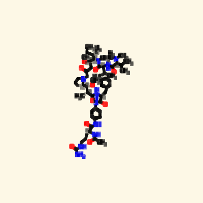 CC[C@H](C)[C@@H]([C@@H](CC(=O)CN1CCC[C@H]1[C@H](OC)[C@@H](C)C(=O)N[C@@H](Cc1ccccc1)C(=O)Nc1ccc(NC(=O)[C@@H](CCCNC(N)=O)NC(C)=O)cc1)OC)N(C)C(=O)[C@@H](NC(=O)[C@H](C(C)C)N(C)C)C(C)C